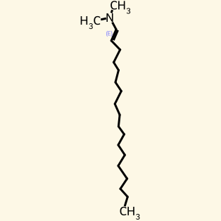 CCCCCCCCCCCCCCCC/C=C/N(C)C